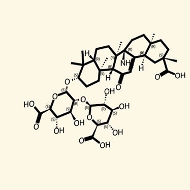 CC1(C)[C@@H](O[C@H]2O[C@H](C(=O)O)[C@@H](O)[C@H](O)[C@H]2O[C@@H]2O[C@H](C(=O)O)[C@@H](O)[C@H](O)[C@H]2O)CC[C@]2(C)[C@H]3C(=O)C=C4[C@@H]5C[C@@](C)(C(=O)O)CC[C@]5(C)CC[C@@]4(N)[C@]3(C)CC[C@@H]12